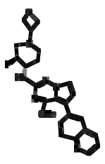 COc1nc(N[C@H]2CCN(C3COC3)C[C@@H]2F)nn2ccc(-c3ccc4ncccc4c3)c12